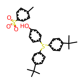 CC(C)(C)c1ccc([S+](c2ccc(O)cc2)c2ccc(C(C)(C)C)cc2)cc1.Cc1ccc(S(=O)(=O)[O-])cc1